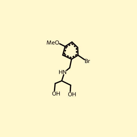 COc1ccc(Br)c(CNC(CO)CO)c1